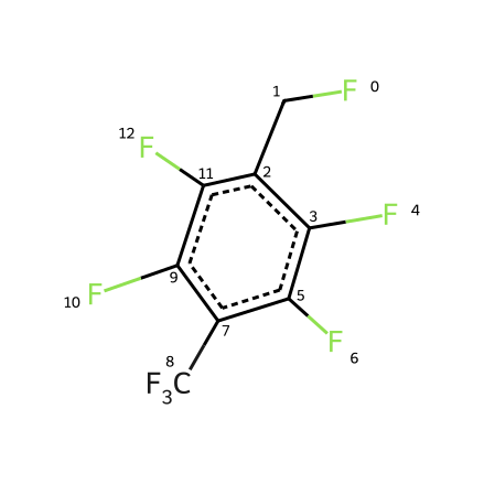 FCc1c(F)c(F)c(C(F)(F)F)c(F)c1F